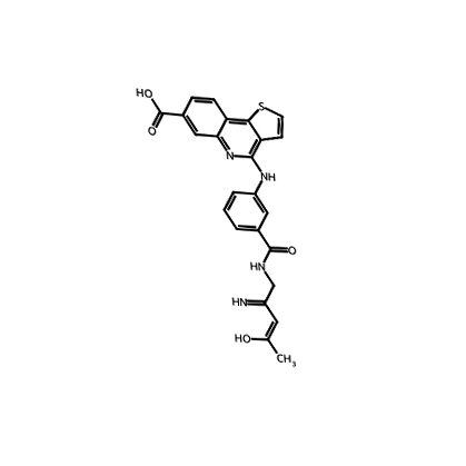 C/C(O)=C/C(=N)CNC(=O)c1cccc(Nc2nc3cc(C(=O)O)ccc3c3sccc23)c1